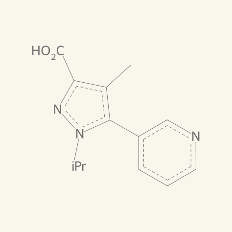 Cc1c(C(=O)O)nn(C(C)C)c1-c1cccnc1